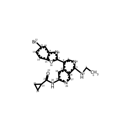 CCNc1ncc(-c2nc3cc(Br)ccc3o2)c2cc(NC(=O)C3CC3)ncc12